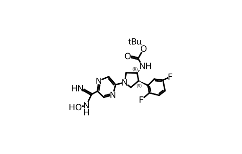 CC(C)(C)OC(=O)N[C@H]1CN(c2cnc(C(=N)NO)cn2)C[C@@H]1c1cc(F)ccc1F